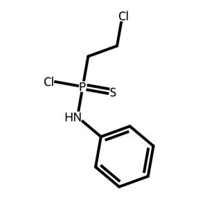 S=P(Cl)(CCCl)Nc1ccccc1